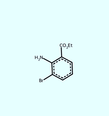 CCOC(=O)c1cccc(Br)c1N